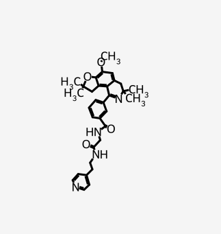 COc1cc2c(c3c1OC(C)(C)C3)C(c1cccc(C(=O)NCC(=O)NCCc3ccncc3)c1)=NC(C)(C)C2